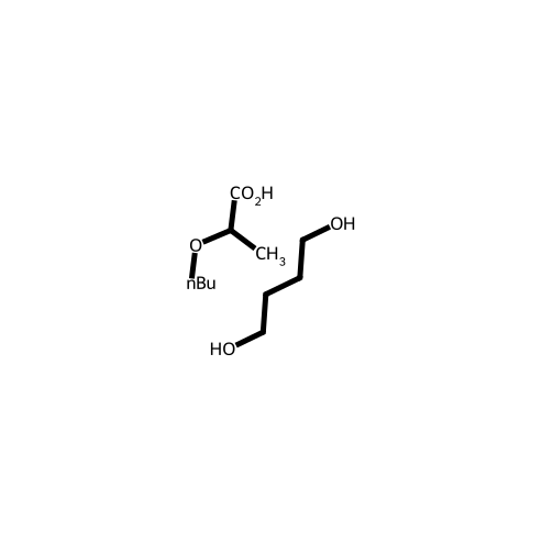 CCCCOC(C)C(=O)O.OCCCCO